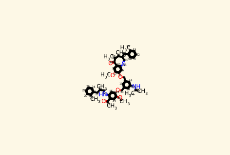 COc1cc2c(cc1OCc1cc(COc3cc(NC[C@@H](C)Cc4ccccc4C)c(C(C)=O)cc3OC)cc(NC(C)C)c1)/N=C\C(Cc1ccccc1C)C(C)C(C)C2=O